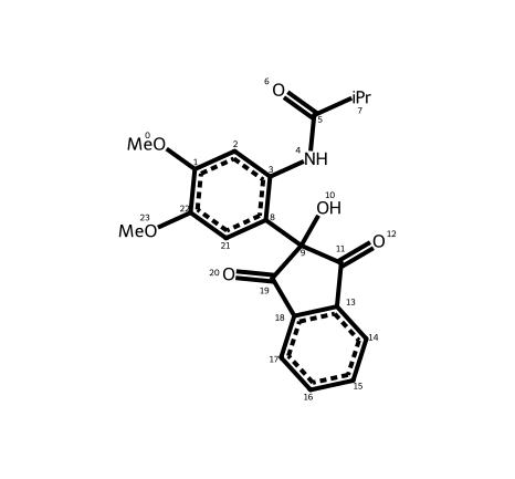 COc1cc(NC(=O)C(C)C)c(C2(O)C(=O)c3ccccc3C2=O)cc1OC